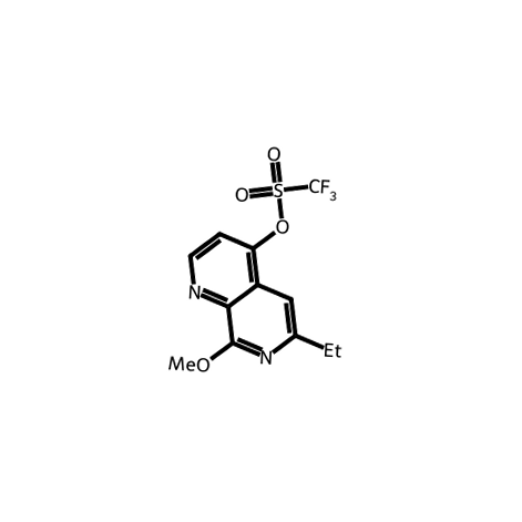 CCc1cc2c(OS(=O)(=O)C(F)(F)F)ccnc2c(OC)n1